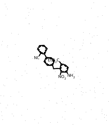 CCOC(=O)c1ccc(N)c([N+](=O)[O-])c1Cc1ccc(-c2ccccc2C#N)cc1